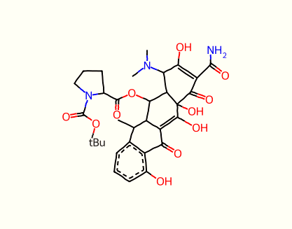 CC1c2cccc(O)c2C(=O)C2=C(O)C3(O)C(=O)C(C(N)=O)=C(O)C(N(C)C)C3C(OC(=O)C3CCCN3C(=O)OC(C)(C)C)C21